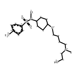 CCN(C1CCC(OCCCCN(C)CCO)CC1)S(=O)(=O)c1ccc(C(F)(F)F)cc1